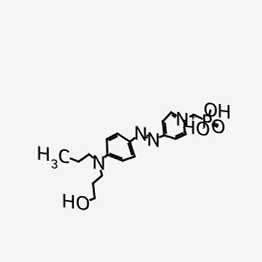 CCCN(CCCO)c1ccc(/N=N/c2cc[n+](CP(=O)(O)O)cc2)cc1